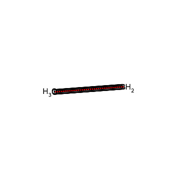 BB=BB=BB=BB=BB=BB=BB=BB=BB=BB=BB=BB=BB=BB=BB=BB=BB=BB=BB=BB=BB=BB=BB=BB=BB=BB=BB=BB=BB=BB=BB=BB=BB=BOC